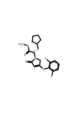 COC(=O)[C@H](CC1CCCC1)N1CC(Oc2c(F)cccc2F)=CC1=O